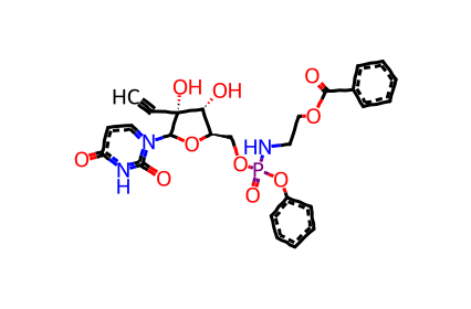 C#C[C@]1(O)C(n2ccc(=O)[nH]c2=O)O[C@H](COP(=O)(NCCOC(=O)c2ccccc2)Oc2ccccc2)[C@H]1O